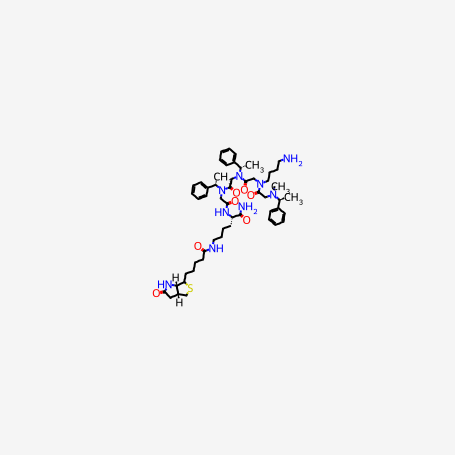 C[C@@H](c1ccccc1)N(C)CC(=O)N(CCCCN)CC(=O)N(CC(=O)N(CC(=O)N[C@@H](CCCCNC(=O)CCCCC1SC[C@@H]2CC(=O)N[C@H]12)C(N)=O)[C@@H](C)c1ccccc1)[C@@H](C)c1ccccc1